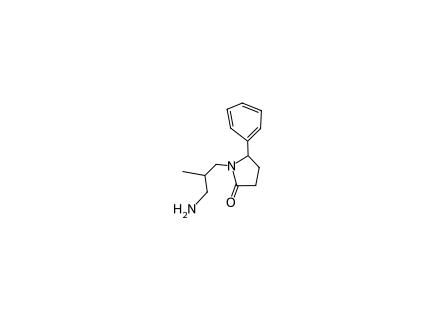 CC(CN)CN1C(=O)CCC1c1ccccc1